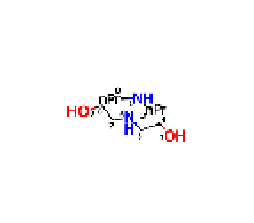 CCCNCCC.OCCNCCO